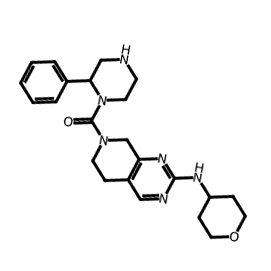 O=C(N1CCc2cnc(NC3CCOCC3)nc2C1)N1CCNCC1c1ccccc1